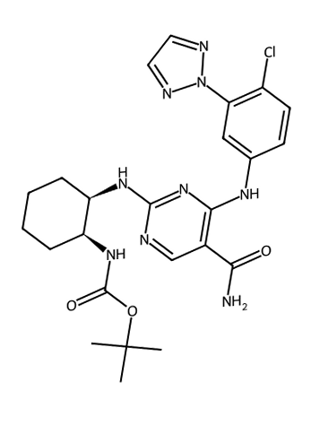 CC(C)(C)OC(=O)N[C@H]1CCCC[C@H]1Nc1ncc(C(N)=O)c(Nc2ccc(Cl)c(-n3nccn3)c2)n1